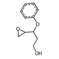 OCCC(Oc1ccccc1)C1CO1